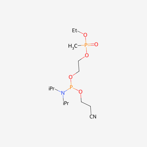 CCOP(C)(=O)OCCOP(OCCC#N)N(C(C)C)C(C)C